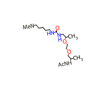 CNCCCCCNC(=O)NCC(C)OCCOCC(C)NC(C)=O